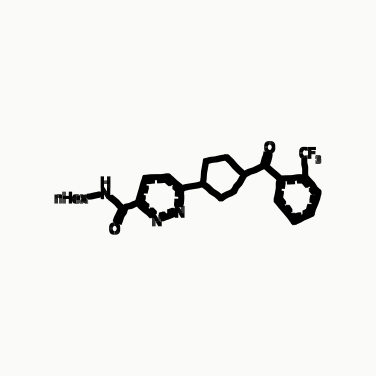 CCCCCCNC(=O)c1ccc(C2CCC(C(=O)c3ccccc3C(F)(F)F)CC2)nn1